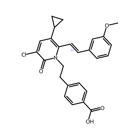 COc1cccc(/C=C/c2c(C3CC3)cc(Cl)c(=O)n2CCc2ccc(C(=O)O)cc2)c1